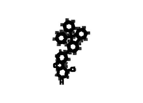 ClC1=CNCc2oc3ccc(-c4ccc5c(c4)C(c4ccccc4)(c4ccccc4)c4ccccc4-5)cc3c21